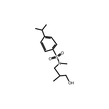 CC(CO)CN(C)S(=O)(=O)c1ccc(C(C)C)cc1